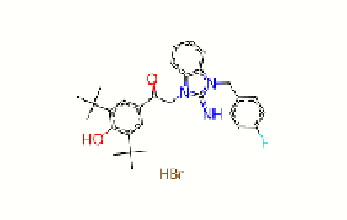 Br.CC(C)(C)c1cc(C(=O)Cn2c(=N)n(Cc3ccc(F)cc3)c3ccccc32)cc(C(C)(C)C)c1O